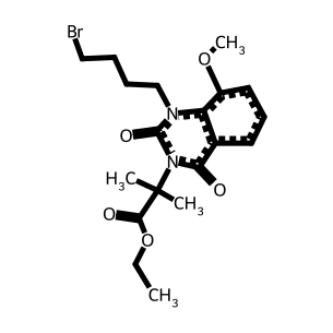 CCOC(=O)C(C)(C)n1c(=O)c2cccc(OC)c2n(CCCCBr)c1=O